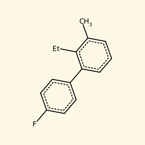 CCc1c(C)cccc1-c1ccc(F)cc1